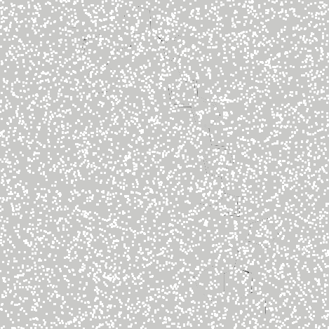 COC(=O)N[C@H](C(=O)N1CCC[C@H]1c1ncc(-c2ccc3cc(-c4ccc(-c5[nH]c([C@@H]6CCCN6C(=O)[C@@H](NC(=O)OC)C6CCOCC6)nc5Cl)cc4)ccc3c2)[nH]1)C1CCOCC1